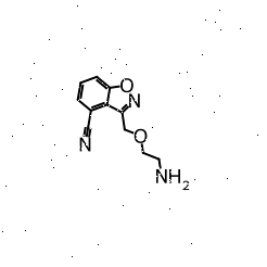 N#Cc1cccc2onc(COCCN)c12